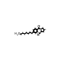 CCCCCCCCc1ccc(C(=O)N2CCC[C@H]2C#N)cc1